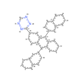 c1ccc2cc(-c3c4ccccc4c(-c4ccc5ccccc5c4)c4cc(-c5nncnn5)ccc34)ccc2c1